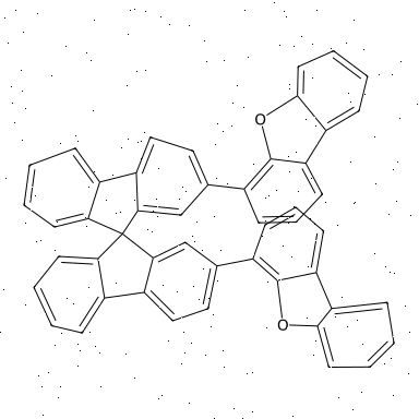 c1ccc2c(c1)-c1ccc(-c3cccc4c3oc3ccccc34)cc1C21c2ccccc2-c2ccc(-c3cccc4c3oc3ccccc34)cc21